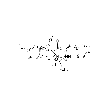 CC(=O)N[C@H](Cc1ccccc1)C(=O)[C@](Cc1ccc(O)cc1)(C(=O)O)N(I)I